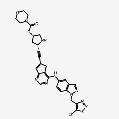 O=C(O[C@H]1CN[C@H](C#Cc2cc3ncnc(Nc4ccc5c(cnn5Cc5nnsc5Cl)c4)c3s2)C1)N1CCOCC1